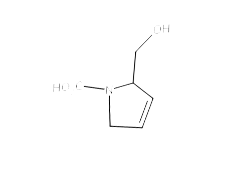 O=C(O)N1CC=CC1CO